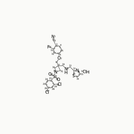 Cl.N#Cc1ccc(OCC2(CNCc3nccs3)CN(S(=O)(=O)c3ccc(Cl)cc3Cl)C2)cc1F